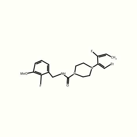 C/C=C(F)\C(=C/CC)N1CCN(C(=O)NCc2cccc(OC)c2F)CC1